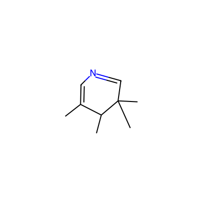 CC1=CN=CC(C)(C)C1C